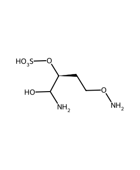 NOCC[C@H](OS(=O)(=O)O)C(N)O